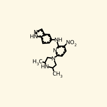 CC1CN(c2ccc([N+](=O)[O-])c(Nc3ccc4[nH]ncc4c3)n2)CC(C)N1